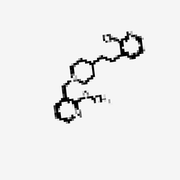 COc1ncccc1CN1CCC(CCc2cccnc2Cl)CC1